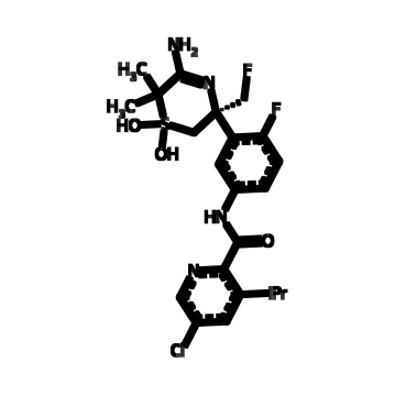 CC(C)c1cc(Cl)cnc1C(=O)Nc1ccc(F)c([C@@]2(CF)CS(O)(O)C(C)(C)C(N)=N2)c1